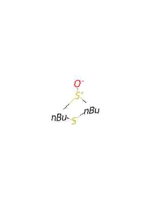 CCCCSCCCC.C[S+](C)[O-]